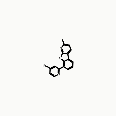 Cc1ccc2c(n1)oc1c(-c3cc(C(C)C)ccn3)cccc12